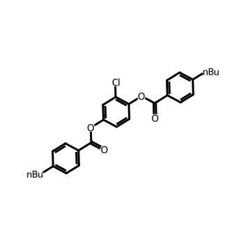 CCCCc1ccc(C(=O)Oc2ccc(OC(=O)c3ccc(CCCC)cc3)c(Cl)c2)cc1